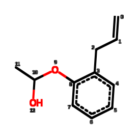 C=CCc1ccccc1OC(C)O